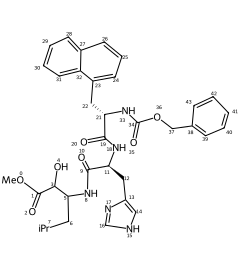 COC(=O)C(O)C(CC(C)C)NC(=O)[C@H](Cc1c[nH]cn1)NC(=O)[C@H](Cc1cccc2ccccc12)NC(=O)OCc1ccccc1